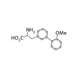 COc1ccccc1-c1cccc(CC(N)C(=O)O)c1